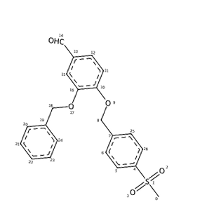 CS(=O)(=O)c1ccc(COc2ccc(C=O)cc2OCc2ccccc2)cc1